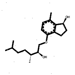 Cc1ccc(OC[C@@H](O)[C@H](C)CCC(C)C)c2c1[C@@H](O)CC2